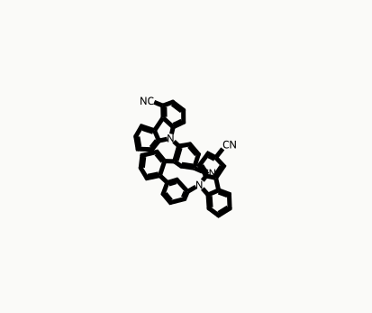 N#Cc1ccc(-n2c3ccccc3c3c(C#N)cccc32)c(-c2ccccc2-c2cccc(-n3c4ccccc4c4cc(C#N)ccc43)c2)c1